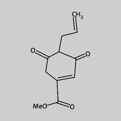 C=CCC1C(=O)C=C(C(=O)OC)CC1=O